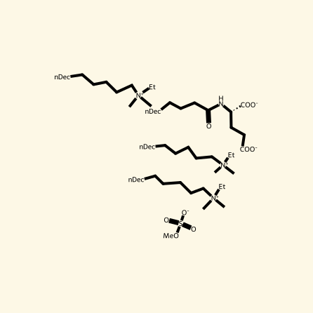 CCCCCCCCCCCCCC(=O)N[C@@H](CCC(=O)[O-])C(=O)[O-].CCCCCCCCCCCCCCC[N+](C)(C)CC.CCCCCCCCCCCCCCC[N+](C)(C)CC.CCCCCCCCCCCCCCC[N+](C)(C)CC.COS(=O)(=O)[O-]